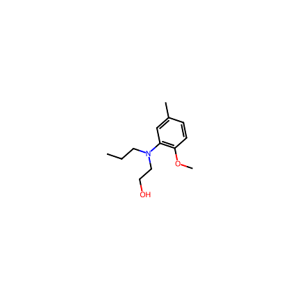 CCCN(CCO)c1cc(C)ccc1OC